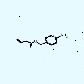 C=CCC(=O)OCc1ccc(N)cc1